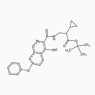 CC(C)(C)OC(=O)C(CNC(=O)c1ncc2cc(Oc3ccccc3)ccc2c1O)C1CC1